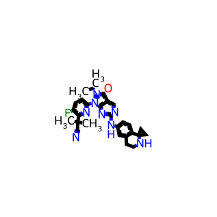 CC(C)n1c(=O)c2cnc(Nc3ccc4c(c3)CCNC43CC3)nc2n1-c1ccc(F)c(C(C)(C)C#N)n1